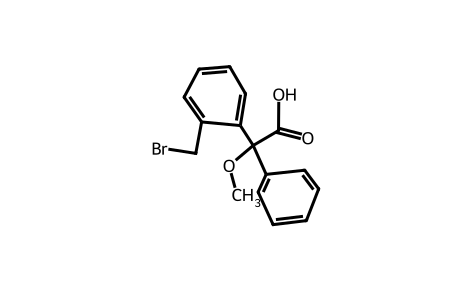 COC(C(=O)O)(c1ccccc1)c1ccccc1CBr